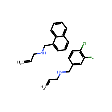 C=CCNCc1ccc(Cl)c(Cl)c1.C=CCNCc1cccc2ccccc12